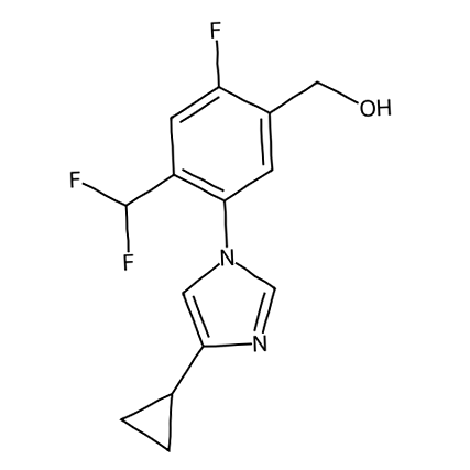 OCc1cc(-n2cnc(C3CC3)c2)c(C(F)F)cc1F